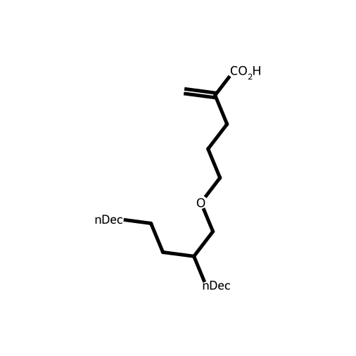 C=C(CCCOCC(CCCCCCCCCC)CCCCCCCCCCCC)C(=O)O